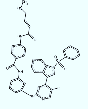 CNC/C=C/C(=O)Nc1ccc(C(=O)Nc2cccc(Nc3ncc(Cl)c(-c4cn(S(=O)(=O)c5ccccc5)c5ccccc45)n3)c2)cc1